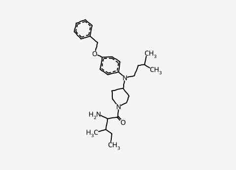 CCC(C)C(N)C(=O)N1CCC(N(CCC(C)C)c2ccc(OCc3ccccc3)cc2)CC1